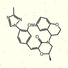 COc1cc(C=C2O[C@H](C)CN(C3CCOc4ccccc43)C2=O)ccc1-n1cnc(C)n1